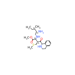 CC[C@H](C)[C@H](N)CN[C@H](C(=O)OC)[C@H](CSC)C(=O)C1NCCc2ccccc21